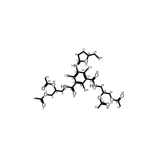 CC(=O)OCC(CNC(=O)c1c(I)c(N=C2CCC(CI)O2)c(I)c(C(=O)NCC(COC(C)=O)OC(C)=O)c1I)OC(C)=O